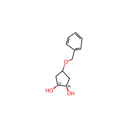 O[C@@H]1CC(OCc2ccccc2)C[C@@H]1O